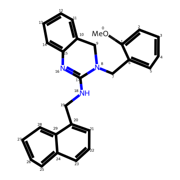 COc1ccccc1CN1Cc2ccccc2N=C1NCc1cccc2ccccc12